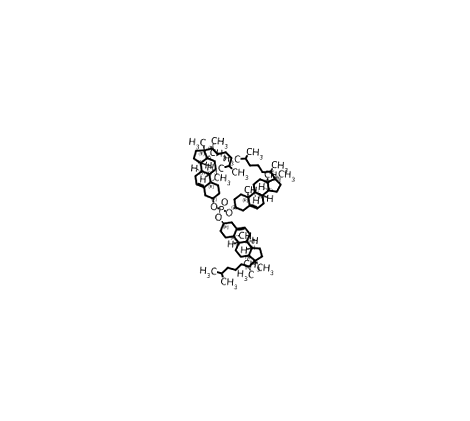 CC(C)CCC[C@@H](C)[C@@]1(C)CC[C@H]2[C@@H]3CC=C4C[C@H](OP(=O)(O[C@@H]5CC[C@@]6(C)C(=CC[C@@H]7[C@@H]6CC[C@@]6(C)[C@H]7CC[C@]6(C)[C@H](C)CCCC(C)C)C5)O[C@@H]5CC[C@@]6(C)C(=CC[C@@H]7[C@@H]6CC[C@@]6(C)[C@H]7CC[C@]6(C)[C@H](C)CCCC(C)C)C5)CC[C@]4(C)[C@H]3CC[C@@]21C